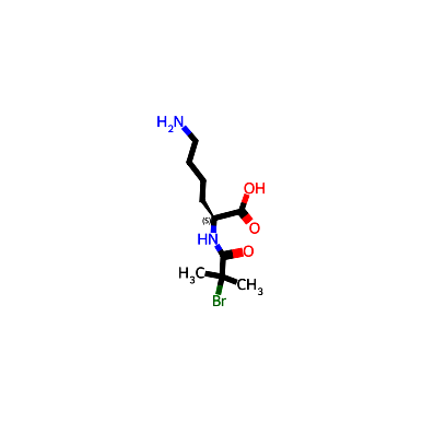 CC(C)(Br)C(=O)N[C@@H](CCCCN)C(=O)O